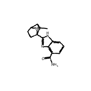 CC1CC2CCC1(c1nc3c(C(N)=O)cccc3[nH]1)N2